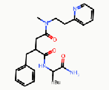 CCCCC(NC(=O)C(CC(=O)N(C)CCc1ccccn1)Cc1ccccc1)C(N)=O